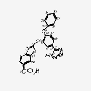 O=C(O)c1ccc2nc(Sc3cc(-c4nnn[nH]4)ccc3Oc3ccccc3)sc2c1